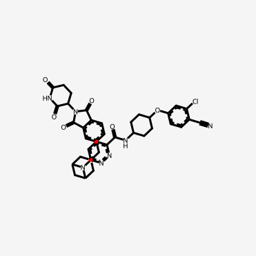 N#Cc1ccc(OC2CCC(NC(=O)c3ccc(N4C5CC4CN(Cc4ccc6c(c4)C(=O)N(C4CCC(=O)NC4=O)C6=O)C5)nn3)CC2)cc1Cl